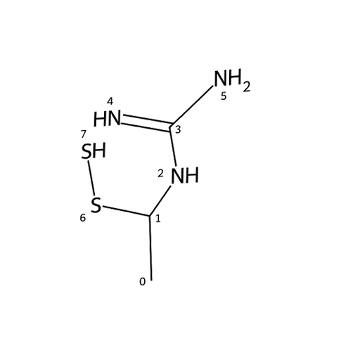 CC(NC(=N)N)SS